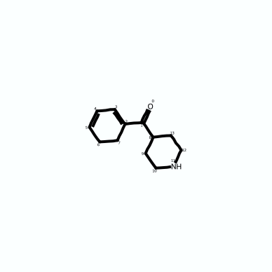 O=C(C1=CC=CCC1)C1CCNCC1